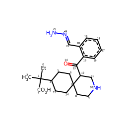 CCC(C)(C(=O)O)C1CCC2(CCNCC2C(=O)c2ccccc2C=NN)CC1